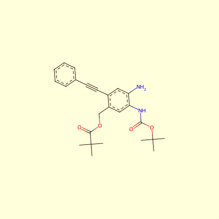 CC(C)(C)OC(=O)Nc1cc(COC(=O)C(C)(C)C)c(C#Cc2ccccc2)cc1N